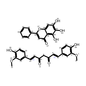 COc1cc(/C=C/C(=O)CC(=O)/C=C/c2ccc(O)c(OC)c2)ccc1O.O=c1cc(-c2ccccc2)oc2cc(O)c(O)c(O)c12